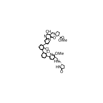 COC(=O)[C@H]1CCN(Cc2c(C)nc3cc(-c4cccc(-c5cccc(-c6ccc(CNC[C@@H]7CCC(=O)N7)c(OC)n6)c5Cl)c4Cl)ccn3c2=O)C1